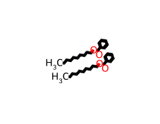 CCCCCCCCCCOC(=O)c1ccccc1.CCCCCCCCCCOC(=O)c1ccccc1